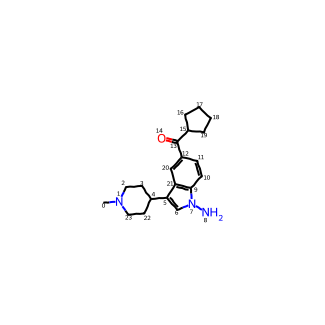 CN1CCC(c2cn(N)c3ccc(C(=O)C4CCCC4)cc23)CC1